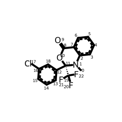 CN1c2ccccc2C(=O)O[C@@]1(c1cccc(Cl)c1)C(F)(F)F